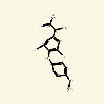 COc1ccc(Oc2c(I)cc(C(C)C(=O)O)cc2I)cc1